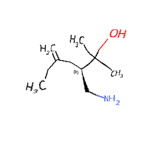 C=C(C)[C@H](CN)C(C)(C)O